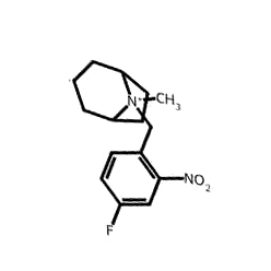 C[N+]1(Cc2ccc(F)cc2[N+](=O)[O-])C2C[CH]CC1CC2